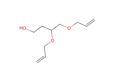 C=CCOCC(CCO)OCC=C